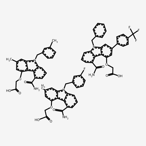 Cc1cc(OCC(=O)O)c2c3c(C(N)=O)cccc3n(Cc3cccc(F)c3)c2c1.Cc1cccc(Cn2c3cc(C)cc(OCC(=O)O)c3c3c(C(N)=O)cccc32)c1.NC(=O)c1cccc2c1c1c(OCC(=O)O)cc(-c3ccc(C(F)(F)F)cc3)cc1n2Cc1ccccc1